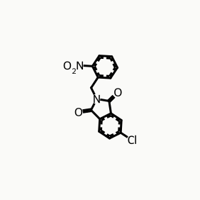 O=C1c2ccc(Cl)cc2C(=O)N1Cc1ccccc1[N+](=O)[O-]